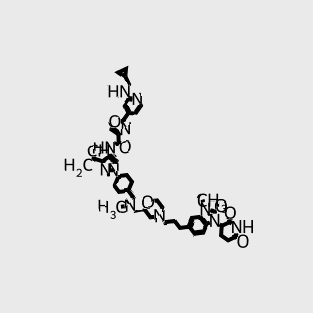 C=C(C)c1nn(C2CCC(CN(C)C[C@@H]3CN(CCCc4ccc5c(c4)n(C)c(=O)n5C4CCC(=O)NC4=O)CCO3)CC2)cc1NC(=O)c1coc(-c2ccnc(NCC3CC3)c2)n1